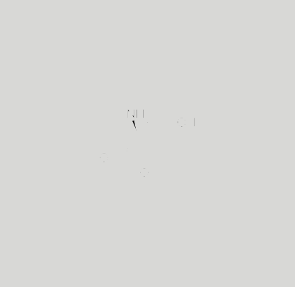 N[C@@H]1C(=O)OC[C@H]1O